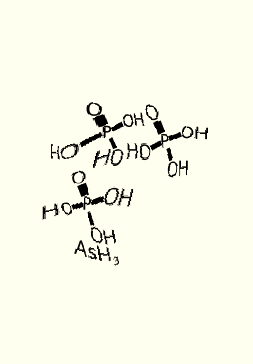 O=P(O)(O)O.O=P(O)(O)O.O=P(O)(O)O.[AsH3]